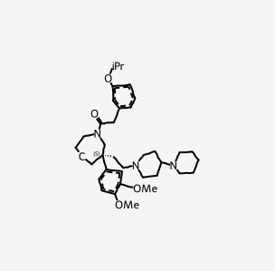 COc1ccc([C@@]2(CCN3CCC(N4CCCCC4)CC3)CCCCN(C(=O)Cc3cccc(OC(C)C)c3)C2)cc1OC